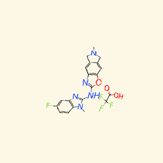 CN1Cc2cc3nc(Nc4nc5cc(F)ccc5n4C)oc3cc2C1.O=C(O)C(F)(F)F